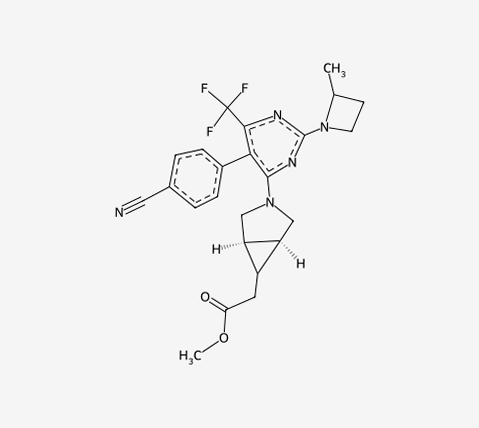 COC(=O)CC1[C@H]2CN(c3nc(N4CCC4C)nc(C(F)(F)F)c3-c3ccc(C#N)cc3)C[C@@H]12